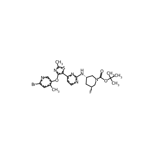 Cc1nc(Oc2cnc(Br)cc2C)c(-c2ccnc(N[C@H]3C[C@H](F)CN(C(=O)OC(C)(C)C)C3)n2)s1